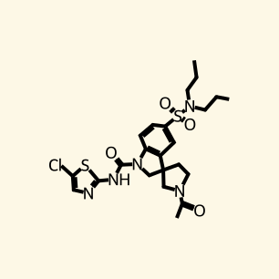 CCCN(CCC)S(=O)(=O)c1ccc2c(c1)C1(CCN(C(C)=O)C1)CN2C(=O)Nc1ncc(Cl)s1